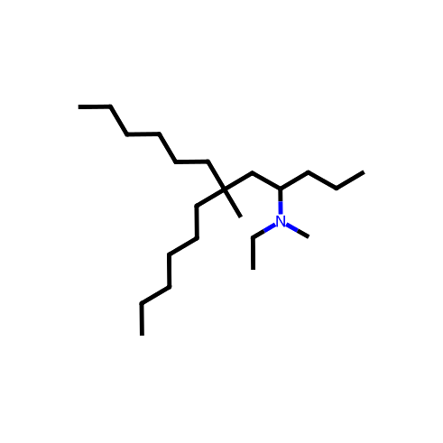 CCCCCCC(C)(CCCCCC)CC(CCC)N(C)CC